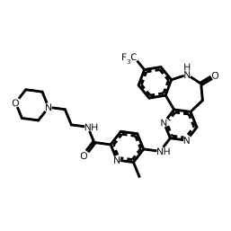 Cc1nc(C(=O)NCCN2CCOCC2)ccc1Nc1ncc2c(n1)-c1ccc(C(F)(F)F)cc1NC(=O)C2